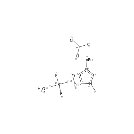 CCCC[n+]1ccn(C)c1.CCO.ClC(Cl)Cl.F[B-](F)(F)F.O